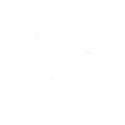 C#CC(OC(=O)C1C(C=C(C)COC)C1(C)C)C(C)=CCC